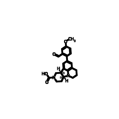 COc1ccc(-c2cc3c4c(c2)[C@@H]2CN(C(=O)O)CC[C@@H]2N4CCC3)c(C=O)c1